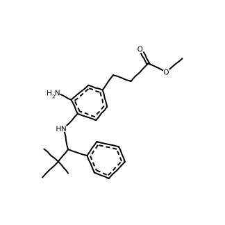 COC(=O)CCc1ccc(NC(c2ccccc2)C(C)(C)C)c(N)c1